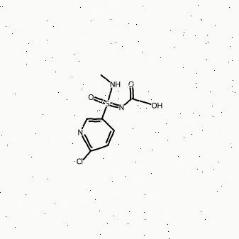 CNS(=O)(=NC(=O)O)c1ccc(Cl)nc1